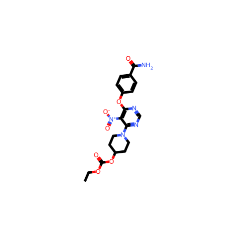 CCOC(=O)OC1CCN(c2ncnc(Oc3ccc(C(N)=O)cc3)c2[N+](=O)[O-])CC1